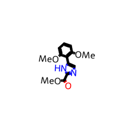 COC(=O)c1ncc(-c2c(OC)cccc2OC)[nH]1